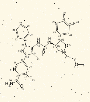 COCCN1C[C@@H](NC(=O)Nc2c(C)c(-c3cnc(C(N)=O)c(F)c3)nn2-c2ccccc2)[C@H](c2cnc(F)c(F)c2)O1